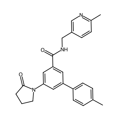 Cc1ccc(-c2cc(C(=O)NCc3ccc(C)nc3)cc(N3CCCC3=O)c2)cc1